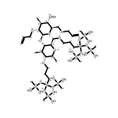 C=CCOC[C@H]1O[C@@H](O[C@H]2[C@H](C)[C@@H](OCCC[Si](O[Si](C)(O)O)(O[Si](C)(O)O)O[Si](C)(O)O)[C@H](C)O[C@@H]2COCCC[Si](O[Si](C)(O)O)(O[Si](C)(O)O)O[Si](C)(O)O)[C@H](OCC=C)[C@@H](C)[C@@H]1OC